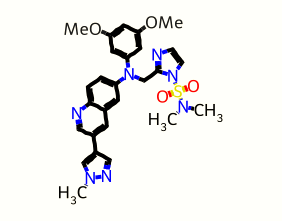 COc1cc(OC)cc(N(Cc2nccn2S(=O)(=O)N(C)C)c2ccc3ncc(-c4cnn(C)c4)cc3c2)c1